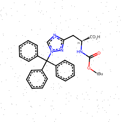 CC(C)(C)OC(=O)N[C@@H](Cc1ncn(C(c2ccccc2)(c2ccccc2)c2ccccc2)n1)C(=O)O